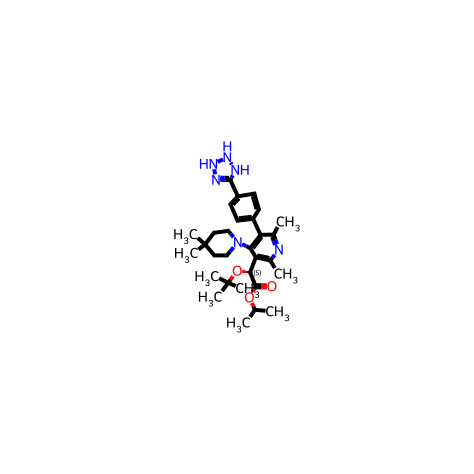 Cc1nc(C)c([C@H](OC(C)(C)C)C(=O)OC(C)C)c(N2CCC(C)(C)CC2)c1-c1ccc(C2=NNNN2)cc1